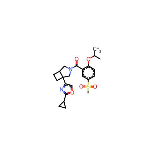 C[C@@H](Oc1ccc(S(C)(=O)=O)cc1C(=O)N1CC2CCC2(c2coc(C3CC3)n2)C1)C(F)(F)F